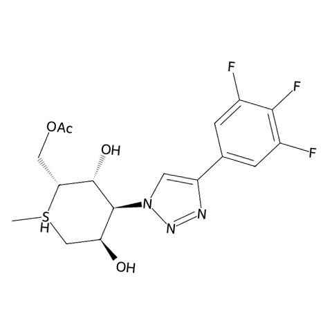 CC(=O)OC[C@@H]1[C@H](O)[C@@H](n2cc(-c3cc(F)c(F)c(F)c3)nn2)[C@@H](O)C[SH]1C